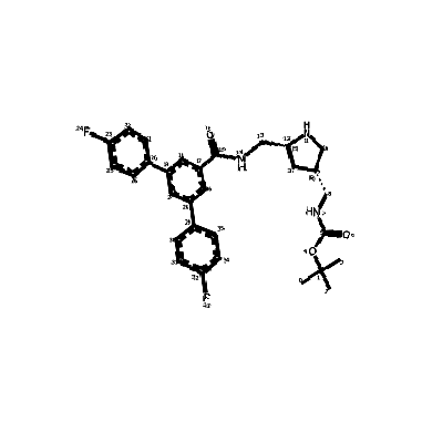 CC(C)(C)OC(=O)NC[C@H]1CN[C@H](CNC(=O)c2cc(-c3ccc(F)cc3)cc(-c3ccc(F)cc3)c2)C1